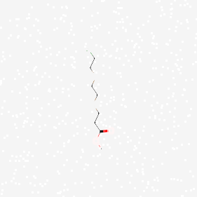 COC(=O)CCSCCSCCBr